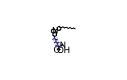 CCCCCCCCc1ccc(N2CCCc3cc(/C(C)=C(C)/C(C)=C(C)/C(C)=C(\C#N)C(=O)O)ccc32)cc1